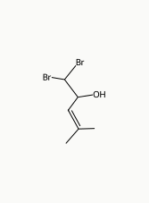 CC(C)=CC(O)C(Br)Br